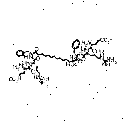 N=C(N)NCCC[C@H](NC(=O)[C@@H](N)CCC(=O)O)C(=O)N[C@@H](Cc1ccccc1)C(=O)CCCCCCCCCCCC(N)(N)C(=O)[C@H](Cc1ccccc1)NC(=O)[C@H](CCCNC(=N)N)NC(=O)[C@@H](N)CCC(=O)O